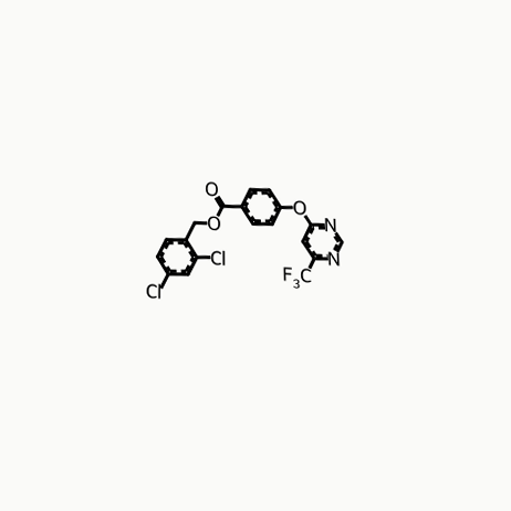 O=C(OCc1ccc(Cl)cc1Cl)c1ccc(Oc2cc(C(F)(F)F)ncn2)cc1